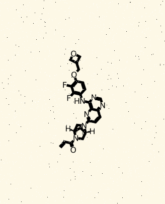 C=CC(=O)N1C[C@@H]2C[C@H]1CN2c1ccc2ncnc(Nc3ccc(OCC4COC4)c(F)c3F)c2n1